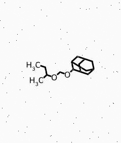 CCC(C)OCOC1C2CC3CC(C2)CC1C3